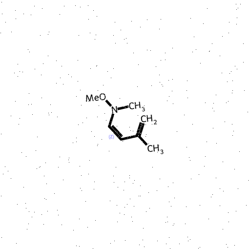 C=C(C)/C=C\N(C)OC